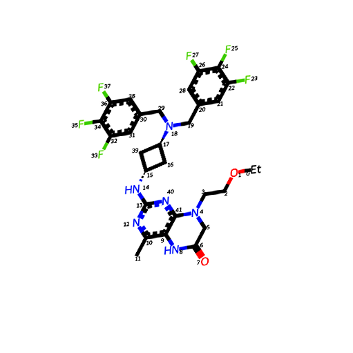 CCOCCN1CC(=O)Nc2c(C)nc(N[C@H]3C[C@H](N(Cc4cc(F)c(F)c(F)c4)Cc4cc(F)c(F)c(F)c4)C3)nc21